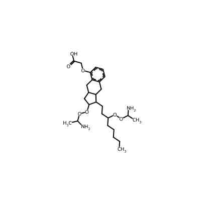 CCCCCC(CCC1C(OOC(C)N)CC2Cc3c(cccc3OCC(=O)O)CC21)OOC(C)N